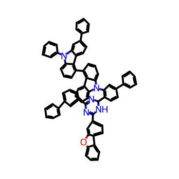 c1ccc(-c2cccc(C3=NC(c4ccc(-c5ccccc5)cc4-n4c5ccccc5c5c(-c6cccc7c6c6ccc(-c8ccccc8)cc6n7-c6ccccc6)cccc54)NC(c4ccc5c(c4)oc4ccccc45)=N3)c2)cc1